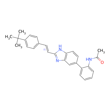 CC(=O)Nc1ccccc1-c1ccc2[nH]c(/C=C/c3ccc(C(C)(C)C)cc3)nc2c1